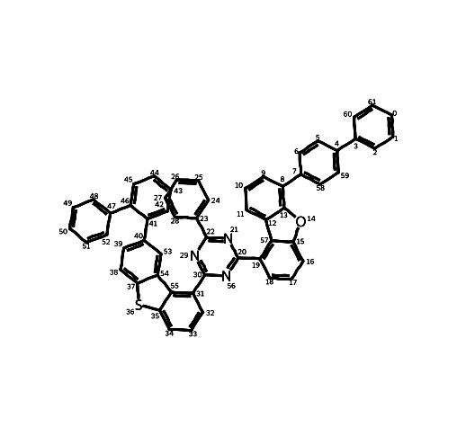 c1ccc(-c2ccc(-c3cccc4c3oc3cccc(-c5nc(-c6ccccc6)nc(-c6cccc7sc8ccc(-c9ccccc9-c9ccccc9)cc8c67)n5)c34)cc2)cc1